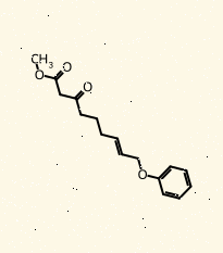 COC(=O)CC(=O)CCC/C=C/COc1ccccc1